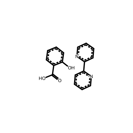 O=C(O)c1ccccc1O.c1ccc(-c2ccccn2)nc1